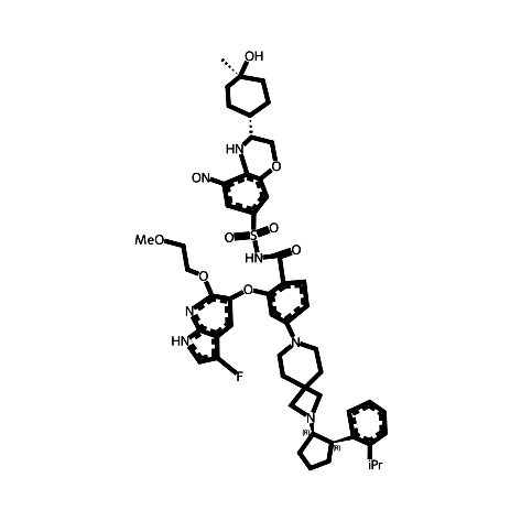 COCCOc1nc2[nH]cc(F)c2cc1Oc1cc(N2CCC3(CC2)CN([C@@H]2CCC[C@@H]2c2ccccc2C(C)C)C3)ccc1C(=O)NS(=O)(=O)c1cc(N=O)c2c(c1)OCC([C@H]1CC[C@](C)(O)CC1)N2